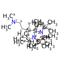 CC[Si](CC)(CCN(C)C)[Si](C)(N([Si](C)(C)C)[Si](C)(C)C)N([Si](C)(C)C)[Si](C)(C)C